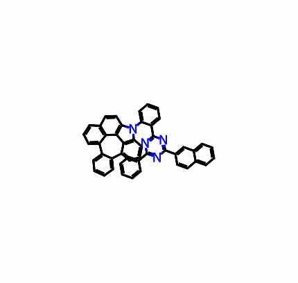 c1ccc(-c2nc(-c3ccc4ccccc4c3)nc(-c3ccccc3-n3c4cccc5c4c4c6c(cccc6ccc43)-c3ccccc3-5)n2)cc1